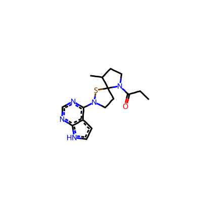 CCC(=O)N1CCC(C)C12CCN(c1ncnc3[nH]ccc13)S2